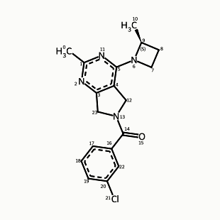 Cc1nc2c(c(N3CC[C@@H]3C)n1)CN(C(=O)c1cccc(Cl)c1)C2